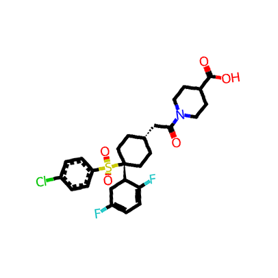 O=C(O)C1CCN(C(=O)C[C@H]2CC[C@@](C3CC(F)=CC=C3F)(S(=O)(=O)c3ccc(Cl)cc3)CC2)CC1